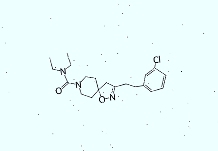 CCN(CC)C(=O)N1CCC2(CC1)CC(CCc1cccc(Cl)c1)=NO2